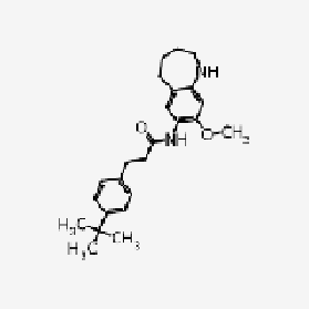 COc1cc2c(cc1NC(=O)CCc1ccc(C(C)(C)C)cc1)CCCCN2